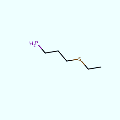 CCSCCCP